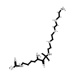 CC(C)(NCCOCCOCCOCCN)C(=O)C(N)CCCCNC(=O)C(F)(F)F